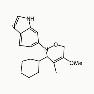 COC1=C(C)C(C2CCCCC2)N(c2ccc3nc[nH]c3c2)OC1